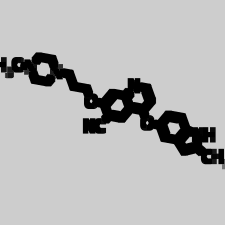 Cc1cc2cc(Oc3ccnc4cc(OCCCN5CCN(C)CC5)c(C#N)cc34)ccc2[nH]1